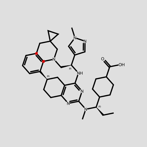 CC[C@H](C1CCC(C(=O)O)CC1)N(C)c1nc2c(c(N[C@@H](CN3CCCC4(CC4)C3)c3cnn(C)c3)n1)C[C@H](c1ccccc1)CC2